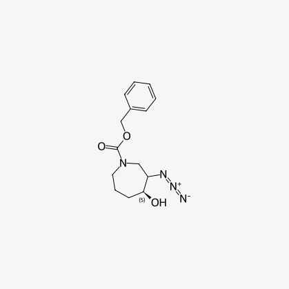 [N-]=[N+]=NC1CN(C(=O)OCc2ccccc2)CCC[C@@H]1O